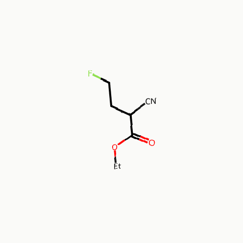 CCOC(=O)C(C#N)CCF